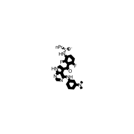 CCC[S+]([O-])Nc1ccc(F)c(C(=O)c2c[nH]c3ncnc(Nc4cccc(N(C)C)c4)c23)c1F